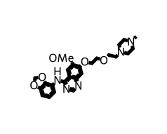 COc1cc2c(Nc3cccc4c3OCO4)ncnc2cc1OCCOCCN1CCN(C)CC1